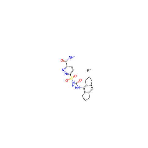 [K+].[NH-]C(=O)c1ccc(S(=O)(=O)NC(=O)Nc2c3c(cc4c2CCC4)CCC3)nn1